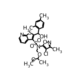 COC(C)OCN(c1onc(C)c1Cl)S(=O)(=O)c1c(C(O)c2ccc(C)cc2C)sc2ncccc12